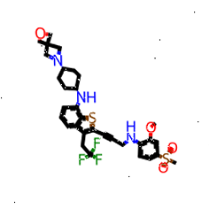 COc1cc(S(C)(=O)=O)ccc1NCC#Cc1sc2c(N[C@H]3CC[C@@H](N4CC5(COC5)C4)CC3)cccc2c1CC(F)(F)F